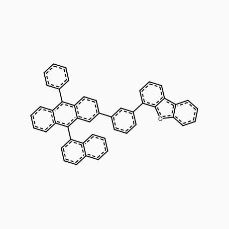 c1ccc(-c2c3ccccc3c(-c3cccc4ccccc34)c3cc(-c4cccc(-c5cccc6c5oc5ccccc56)c4)ccc23)cc1